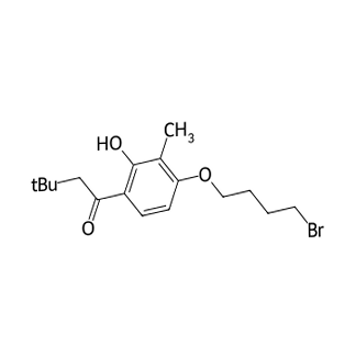 Cc1c(OCCCCBr)ccc(C(=O)CC(C)(C)C)c1O